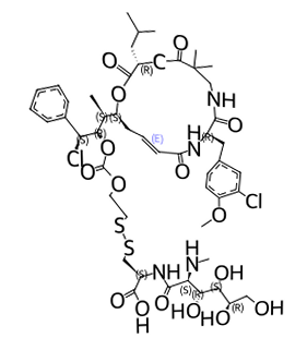 CN[C@H](C(=O)N[C@H](CSSCCOC(=O)O[C@H]([C@@H](C)[C@@H]1C/C=C/C(=O)N[C@H](Cc2ccc(OC)c(Cl)c2)C(=O)NCC(C)(C)C(=O)C[C@@H](CC(C)C)C(=O)O1)[C@@H](Cl)c1ccccc1)C(=O)O)[C@@H](O)[C@H](O)[C@H](O)CO